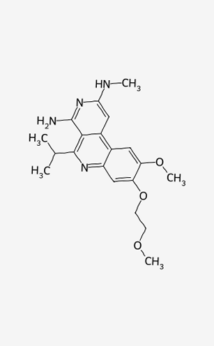 CNc1cc2c(c(N)n1)c(C(C)C)nc1cc(OCCOC)c(OC)cc12